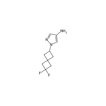 Nc1cnn(C2CC3(C2)CC(F)(F)C3)c1